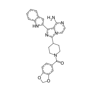 Nc1nccn2c(C3CCN(C(=O)c4ccc5c(c4)OCO5)CC3)nc(-c3cc4ccccc4[nH]3)c12